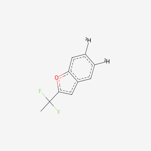 [2H]c1cc2cc(C(C)(F)F)oc2cc1[2H]